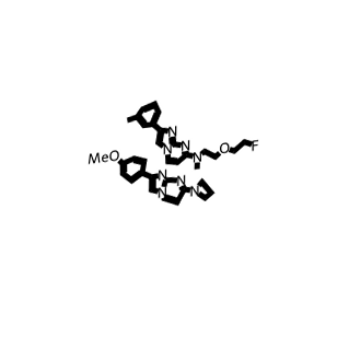 COc1ccc(-c2cn3ccc(N4CCC4)nc3n2)cc1.Cc1cccc(-c2cn3ccc(N(C)CCOCCF)nc3n2)c1